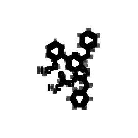 COc1ccccc1-c1cn2c(OC(C)=O)c(Cc3ccccc3)nc2c(Cc2ccccc2)n1